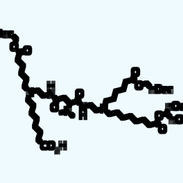 CCCCCCCCCCCOC(=O)CCCCCN(CCCCCCCC(=O)O)CCNC(=O)CC(C(=O)NCCN(CCCCCCCC(=O)OC(CCCCCCCC)CCCCCCCC)CCCCCC(=O)OCCCCCCCCCCC)N(C)C